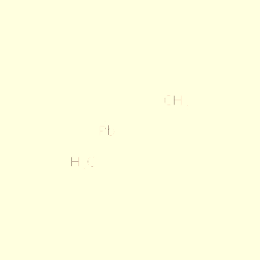 C[CH2][Pb][CH3]